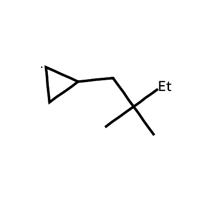 CCC(C)(C)CC1[CH]C1